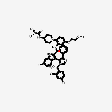 COCCOc1ccc(N2CCC(NC(=O)N(C)C)CC2)c(NC(=O)c2[nH]c3cc(Cl)ccc3c2-c2c(-c3ccccc3)ncn2[C@@H](C)c2ccc(Cl)cc2Cl)c1